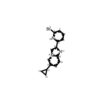 Brc1cccc(-c2cn3cc(C4CC4)ccc3n2)n1